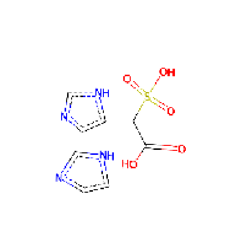 O=C(O)CS(=O)(=O)O.c1c[nH]cn1.c1c[nH]cn1